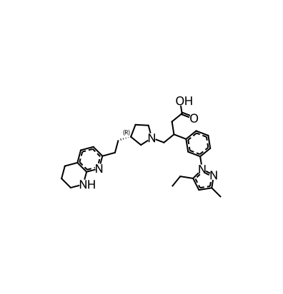 CCc1cc(C)nn1-c1cccc(C(CC(=O)O)CN2CC[C@@H](CCc3ccc4c(n3)NCCC4)C2)c1